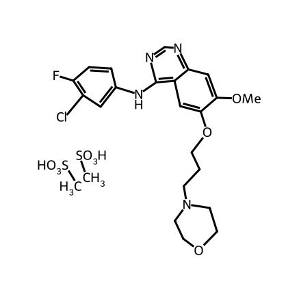 COc1cc2ncnc(Nc3ccc(F)c(Cl)c3)c2cc1OCCCN1CCOCC1.CS(=O)(=O)O.CS(=O)(=O)O